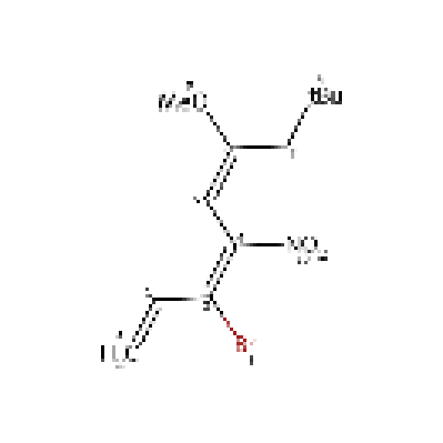 C=C/C(Br)=C(\C=C(/CC(C)(C)C)OC)[N+](=O)[O-]